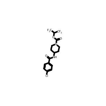 O=C(NC1CCN(C(=O)OC(C(F)(F)F)C(F)(F)F)CC1)c1ccc(Cl)cc1